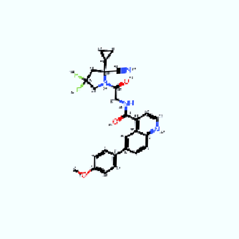 COc1ccc(-c2ccc3nccc(C(=O)NCC(=O)N4CC(F)(F)CC4(C#N)C4CC4)c3c2)cc1